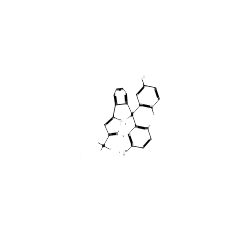 CC(C)(C)c1cc2n(n1)C1(c3cc(Br)ccc3Oc3ccc(Br)cc31)c1ccccc1-2